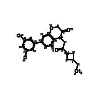 CCC1CN(C(=O)CN2C(=O)COc3cc(-c4cc(Cl)cc(Cl)c4)cnc32)C1